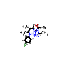 CC(=N)N(N[C@@H](C)[C@@H](C)C(C)Nc1ccc(F)cc1)C(=O)C(C)(C)C